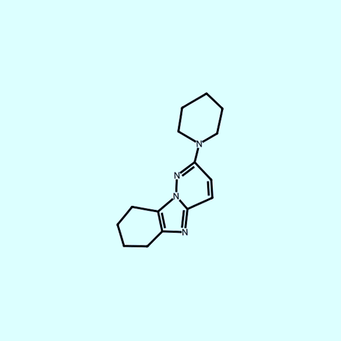 c1cc2nc3c(n2nc1N1CCCCC1)CCCC3